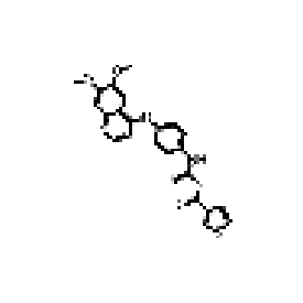 COc1cc2nccc(Oc3ccc(NC(=S)NC(=O)c4ccsc4)cc3)c2cc1OC